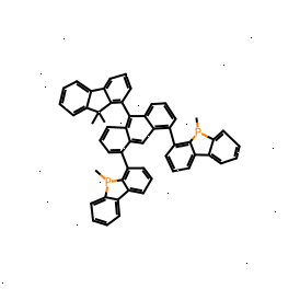 Cp1c2ccccc2c2cccc(-c3cccc4c(-c5cccc6c5C(C)(C)c5ccccc5-6)c5cccc(-c6cccc7c8ccccc8p(C)c67)c5cc34)c21